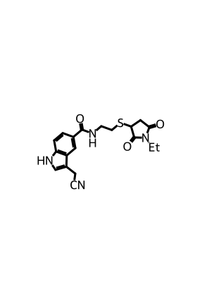 CCN1C(=O)CC(SCCNC(=O)c2ccc3[nH]cc(CC#N)c3c2)C1=O